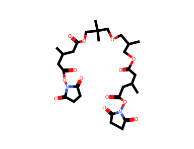 CC(COCC(C)(C)COC(=O)CC(C)CC(=O)ON1C(=O)CCC1=O)COC(=O)CC(C)CC(=O)ON1C(=O)CCC1=O